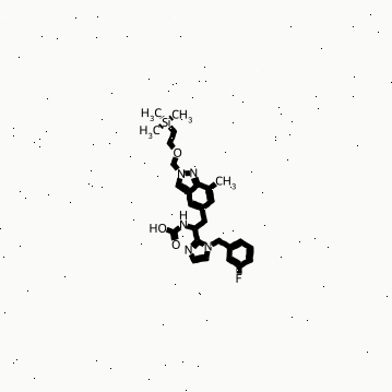 Cc1cc(CC(NC(=O)O)c2nccn2Cc2cccc(F)c2)cc2cn(COCC[Si](C)(C)C)nc12